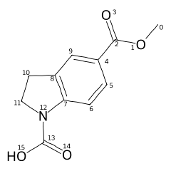 COC(=O)c1ccc2c(c1)CCN2C(=O)O